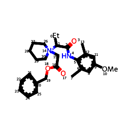 CCC(C(=O)Nc1c(C)cc(OC)cc1C)[N+]1(CC(=O)OCc2ccccc2)CCCCC1